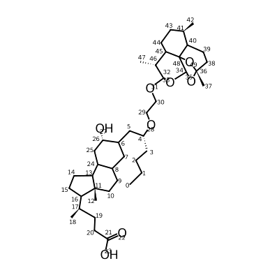 CCCC[C@H](CC1CC2CC[C@@]3(C)C(CCC3[C@H](C)CCC(=O)O)C2C[C@@H]1O)OCCOC1OC2O[C@@]3(C)CCC4[C@H](C)CCC([C@H]1C)C24O3